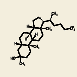 C[C@H](CCCC(F)(F)F)[C@H]1CC[C@H]2[C@@H]3CC[C@H]4C[C@@](C)(O)CC[C@]4(C)[C@H]3CC[C@]12C